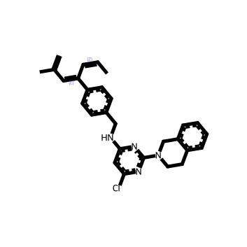 C=C(C)/C=C(\C=C/C)c1ccc(CNc2cc(Cl)nc(N3CCc4ccccc4C3)n2)cc1